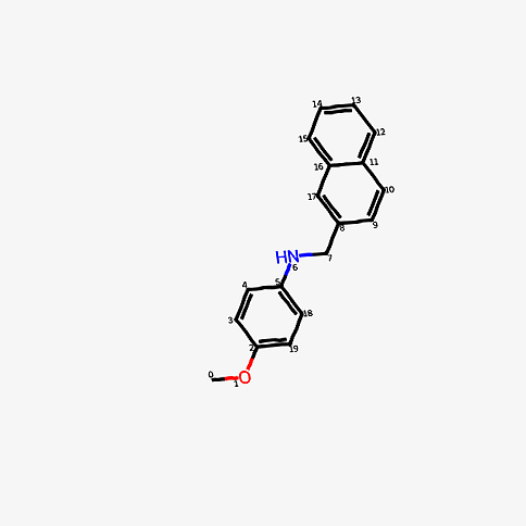 COc1ccc(NCc2ccc3ccccc3c2)cc1